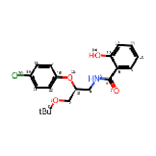 CC(C)(C)OC[C@H](CNC(=O)c1ccccc1O)Oc1ccc(Cl)cc1